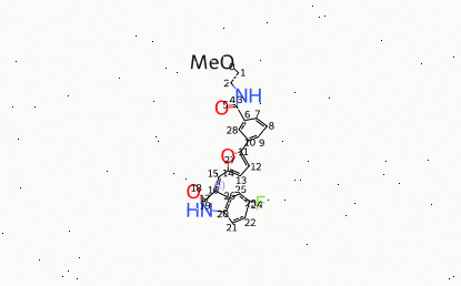 COCCNC(=O)c1cccc(-c2ccc(/C=C3/C(=O)Nc4ccc(F)cc43)o2)c1